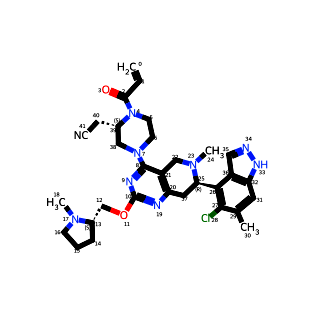 C=CC(=O)N1CCN(c2nc(OC[C@@H]3CCCN3C)nc3c2CN(C)[C@@H](c2c(Cl)c(C)cc4[nH]ncc24)C3)C[C@@H]1CC#N